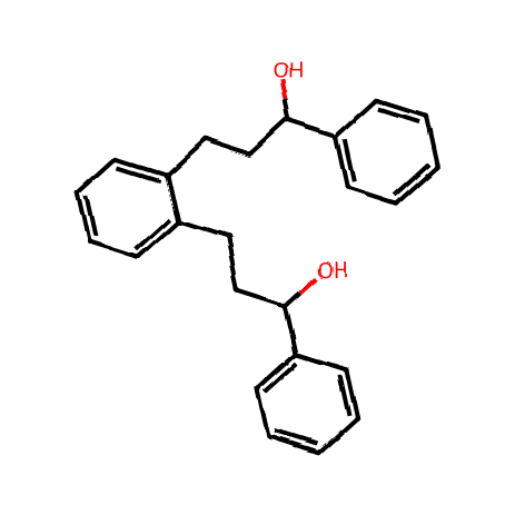 OC(CCc1ccccc1CCC(O)c1ccccc1)c1ccccc1